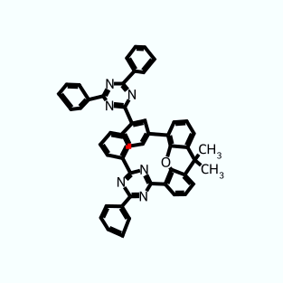 CC1(C)c2cccc(-c3cccc(-c4nc(-c5ccccc5)nc(-c5ccccc5)n4)c3)c2Oc2c(-c3nc(-c4ccccc4)nc(-c4ccccc4)n3)cccc21